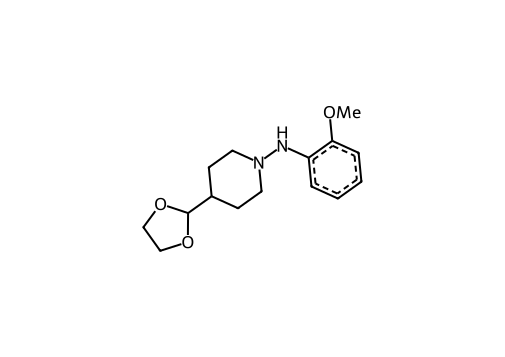 COc1ccccc1NN1CCC(C2OCCO2)CC1